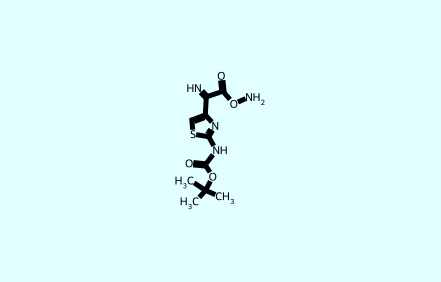 CC(C)(C)OC(=O)Nc1nc(C(=N)C(=O)ON)cs1